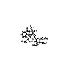 CCc1cc(C2CC(OC)CCC2C(=O)c2cc(OC)c(OC)c(OC)c2)c2c([nH]c3ccccc32)c1C